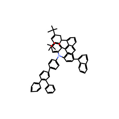 CC(C)(C)C1=CC(c2cccc3cccc(-c4ccccc4N(c4ccc(-c5ccc(-c6ccccc6)c(-c6ccccc6)c5)cc4)c4ccc(-c5cccc6ccccc56)cc4)c23)CC(C(C)(C)C)=C1